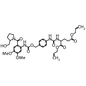 C=CCOC(=O)CCC(NC(=O)Nc1ccc(COC(=O)Nc2cc(OC)c(OC)cc2C(=O)N2CCCC2CO)cc1)C(=O)OCC=C